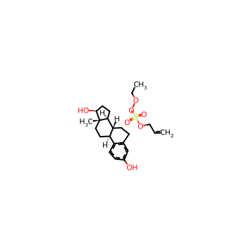 C=CCOS(=O)(=O)OOCC.C[C@]12CC[C@@H]3c4ccc(O)cc4CC[C@H]3[C@@H]1CC[C@@H]2O